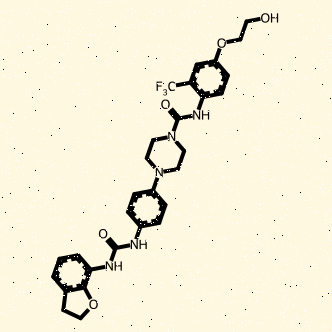 O=C(Nc1ccc(N2CCN(C(=O)Nc3ccc(OCCO)cc3C(F)(F)F)CC2)cc1)Nc1cccc2c1OCC2